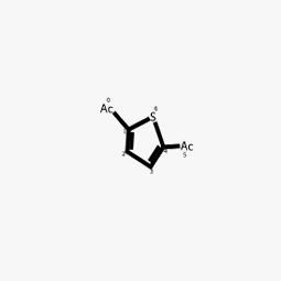 CC(=O)c1ccc(C(C)=O)s1